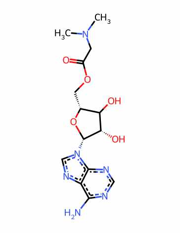 CN(C)CC(=O)OC[C@H]1O[C@@H](n2cnc3c(N)ncnc32)[C@@H](O)C1O